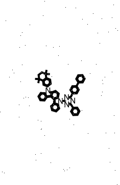 CC1(C)CCC(C)(C)c2cc(-n3c4ccccc4c4c5c6ccccc6n(-c6nc(-c7ccccc7)nc(-c7ccc(-c8ccccc8)cc7)n6)c5ccc43)ccc21